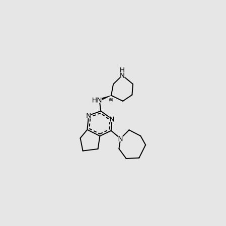 C1CCCN(c2nc(N[C@@H]3CCCNC3)nc3c2CCC3)CC1